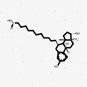 CCCC[S+]([O-])CCCCCCCCCCC[C@@H]1Cc2cc(O)ccc2[C@H]2CC[C@]3(C)[C@@H](O)CC[C@H]3[C@H]12